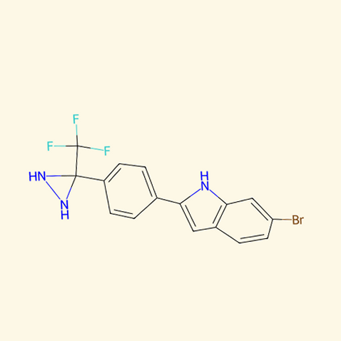 FC(F)(F)C1(c2ccc(-c3cc4ccc(Br)cc4[nH]3)cc2)NN1